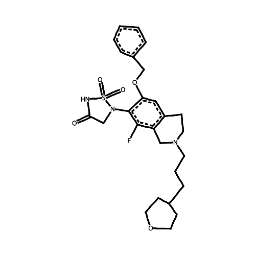 O=C1CN(c2c(OCc3ccccc3)cc3c(c2F)CN(CCCC2CCOCC2)CC3)S(=O)(=O)N1